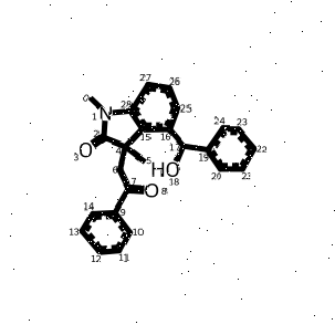 CN1C(=O)C(C)(CC(=O)c2ccccc2)c2c(C(O)c3ccccc3)cccc21